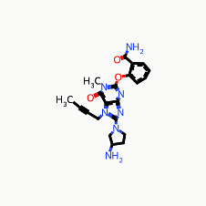 CC#CCn1c(N2CCC(N)C2)nc2nc(Oc3ccccc3C(N)=O)n(C)c(=O)c21